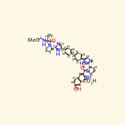 COCN[C@H](C(=O)N1CCC[C@H]1c1ncc(-c2ccc(-c3ccc(-c4cnc([C@@H]5CCCN5C(=O)[C@H](Cc5ccc(O)cc5)NC(=O)O)[nH]4)cc3)cc2)[nH]1)C(C)C